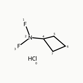 Cl.FN(F)C1CCC1